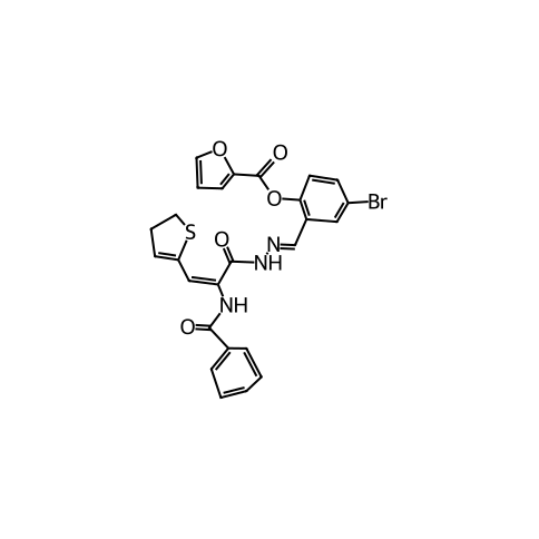 O=C(N/N=C/c1cc(Br)ccc1OC(=O)c1ccco1)/C(=C\C1=CCCS1)NC(=O)c1ccccc1